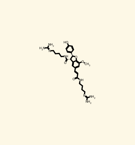 COc1cc(/C=C/C(=O)NCCCCN=C(N)N)cc2c1O[C@H](c1ccc(O)cc1)[C@H]2C(=O)NCCCCN=C(N)N